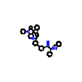 C1=CC2=C(CN1)C1(c3ccccc3-c3ccc(-c4cccc(-c5cccc(C6NC6C(NCc6ccccc6)c6ccccc6)c5)c4)cc31)c1ccccc1N2c1ccccc1